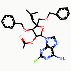 CC(=O)OC1C(n2cnc3c(N)nc(F)nc32)OC(C=C(C)C)(COCc2ccccc2)C1OCc1ccccc1